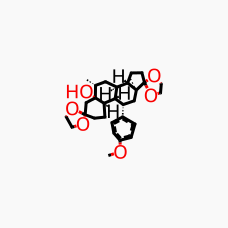 COc1ccc([C@H]2C[C@@]3(C)[C@@H](CCC34OCCO4)[C@@H]3C[C@@H](C)[C@@]4(O)CC5(CC[C@@H]4[C@H]32)OCCO5)cc1